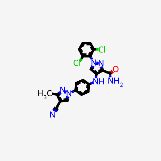 Cc1nn(-c2ccc(Nc3cn(-c4c(Cl)cccc4Cl)nc3C(N)=O)cc2)cc1C#N